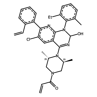 C=CC(=O)N1C[C@H](C)N(C2=NC(O)N(c3c(C)cccc3CC)c3nc(-c4ccccc4C=C)c(Cl)cc32)[C@@H](C)C1